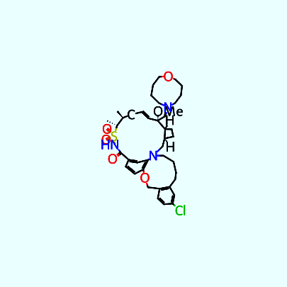 CO[C@@]1(CN2CCCCOCCCC2)/C=C/C[C@H](C)[C@@H](C)S(=O)(=O)NC(=O)c2ccc3c(c2)N(CCCCc2cc(Cl)ccc2CO3)C[C@@H]2CC[C@H]21